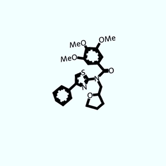 COc1cc(C(=O)N(CC2CCCO2)c2nc(-c3ccccc3)cs2)cc(OC)c1OC